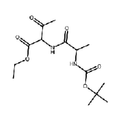 CCOC(=O)C(NC(=O)C(C)NC(=O)OC(C)(C)C)C(C)=O